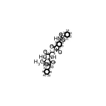 CC(C)C[C@H](NC(CCN1C(=O)c2ccc(NS(=O)(=O)c3ccccc3)cc2C1=O)C(=O)O)C(=O)NCc1ccccc1